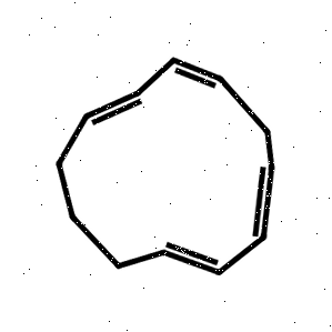 C1=C\C/C=C\C=C\CCC/C=C/1